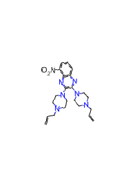 C=CCN1CCN(c2nc3cccc([N+](=O)[O-])c3nc2N2CCN(CC=C)CC2)CC1